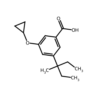 CCC(C)(CC)c1cc(OC2CC2)cc(C(=O)O)c1